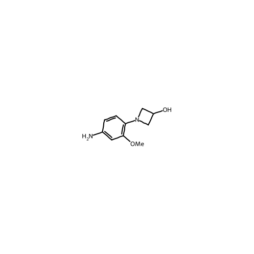 COc1cc(N)ccc1N1CC(O)C1